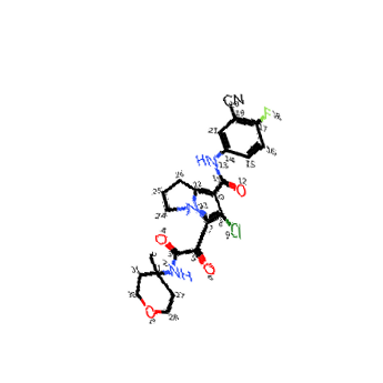 CC1(NC(=O)C(=O)c2c(Cl)c(C(=O)Nc3ccc(F)c(C#N)c3)c3n2CCC3)CCOCC1